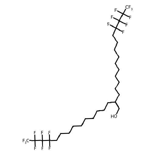 OCC(CCCCCCCCCCC(F)(F)C(F)(F)C(F)(F)C(F)(F)F)CCCCCCCCCCC(F)(F)C(F)(F)C(F)(F)C(F)(F)F